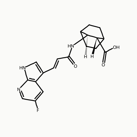 O=C(/C=C/c1c[nH]c2ncc(F)cc12)N[C@H]1C2CCC(CC2)[C@@H]1C(=O)O